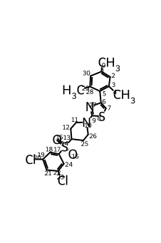 Cc1cc(C)c(-c2csc(N3CCC(S(=O)(=O)c4cc(Cl)cc(Cl)c4)CC3)n2)c(C)c1